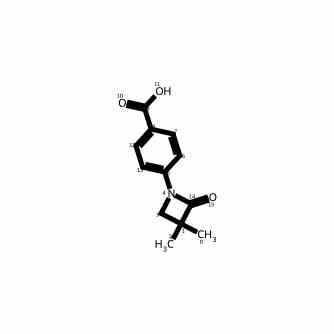 CC1(C)CN(c2ccc(C(=O)O)cc2)C1=O